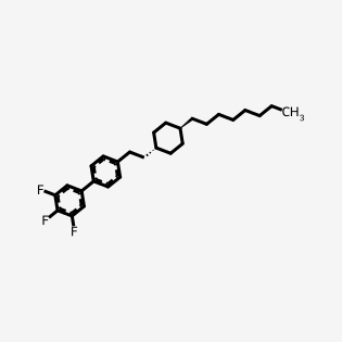 CCCCCCCC[C@H]1CC[C@H](CCc2ccc(-c3cc(F)c(F)c(F)c3)cc2)CC1